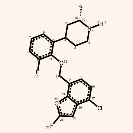 [2H]N1CCC(c2cccc(F)c2OCc2ccc(Cl)c3cc(F)oc23)C[C@@H]1C